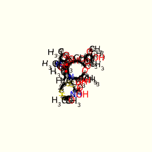 CC[C@H]1OC(=O)[C@H](C)[C@@H](O[C@H]2C[C@@](C)(OC)[C@@H](O)[C@H](C)O2)[C@H](C)[C@@H](O[C@@H]2O[C@H](C)C[C@H](N(C)C)[C@H]2OC(=O)CCCC[C@H]2CCSSC(C)(C)C(=O)N[C@@H](C(=O)O)CSS2)[C@](C)(O)C[C@@H](C)CN(C)[C@H](C)[C@@H](O)[C@]1(C)O